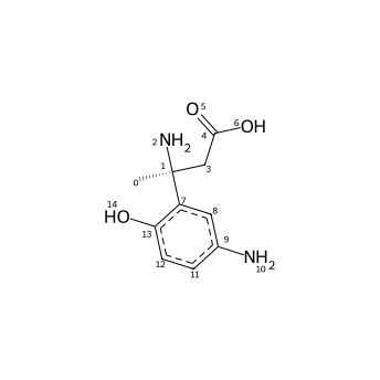 C[C@](N)(CC(=O)O)c1cc(N)ccc1O